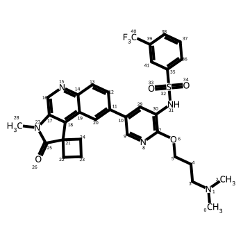 CN(C)CCCOc1ncc(-c2ccc3ncc4c(c3c2)C2(CCC2)C(=O)N4C)cc1NS(=O)(=O)c1cccc(C(F)(F)F)c1